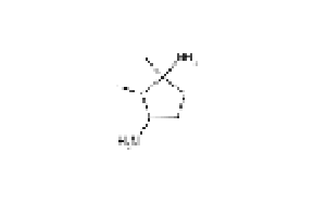 CC1C(N)CCC1(C)N